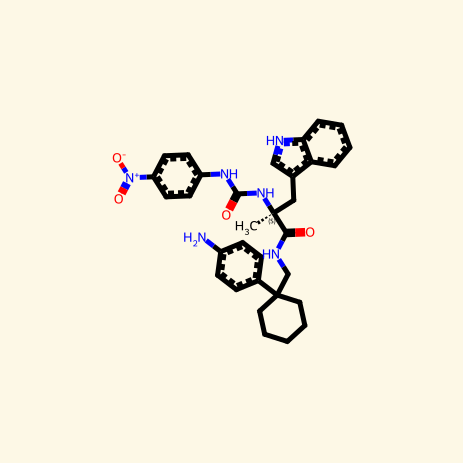 C[C@@](Cc1c[nH]c2ccccc12)(NC(=O)Nc1ccc([N+](=O)[O-])cc1)C(=O)NCC1(c2ccc(N)cc2)CCCCC1